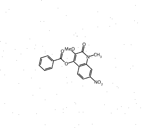 COc1c(OC(=O)c2ccccc2)c2ccc([N+](=O)[O-])cc2n(C)c1=O